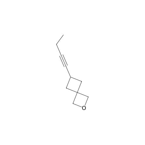 CCC#CC1CC2(COC2)C1